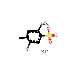 Cc1cc([N+](=O)[O-])c(S(=O)(=O)[O-])cc1Cl.[Na+]